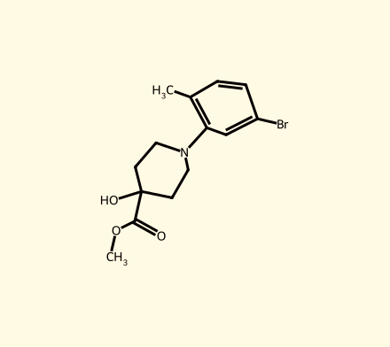 COC(=O)C1(O)CCN(c2cc(Br)ccc2C)CC1